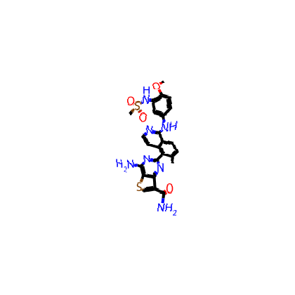 COc1ccc(Nc2nccc3c(-c4nc(N)c5scc(C(N)=O)c5n4)c(C)ccc23)cc1NS(C)(=O)=O